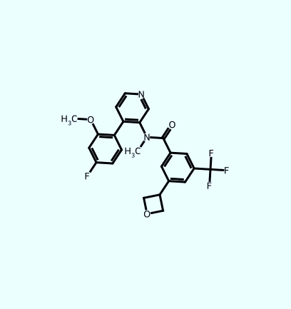 COc1cc(F)ccc1-c1ccncc1N(C)C(=O)c1cc(C2COC2)cc(C(F)(F)F)c1